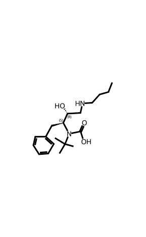 CCCCNC[C@@H](O)[C@H](Cc1ccccc1)N(C(=O)O)C(C)(C)C